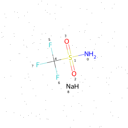 NS(=O)(=O)C(F)(F)F.[NaH]